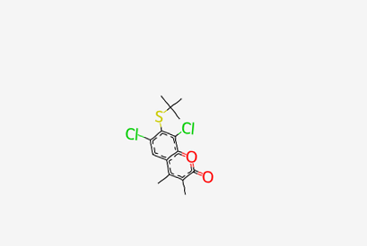 Cc1c(C)c2cc(Cl)c(SC(C)(C)C)c(Cl)c2oc1=O